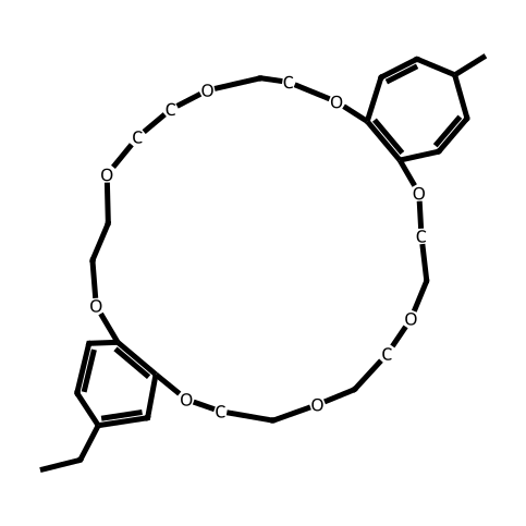 CCc1ccc2c(c1)OCCOCCOCCOC1=C(C=CC(C)C=C1)OCCOCCOCCO2